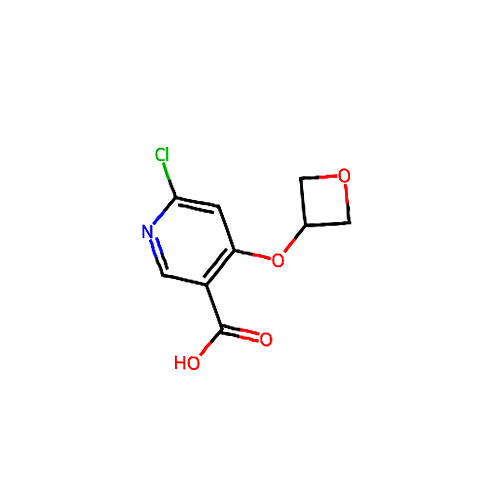 O=C(O)c1cnc(Cl)cc1OC1COC1